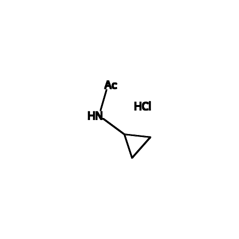 CC(=O)NC1CC1.Cl